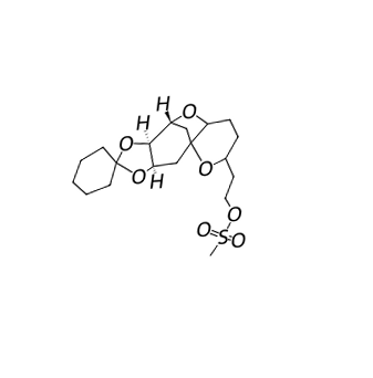 CS(=O)(=O)OCCC1CCC2O[C@@H]3CC2(C[C@H]2OC4(CCCCC4)O[C@@H]32)O1